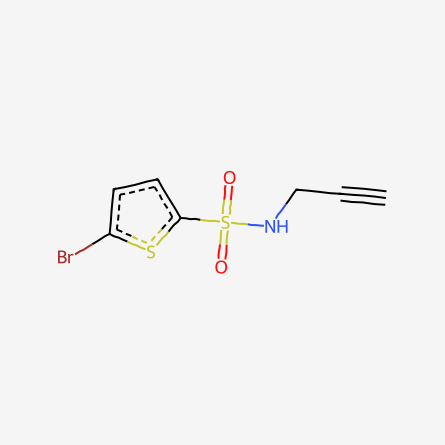 C#CCNS(=O)(=O)c1ccc(Br)s1